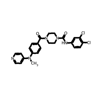 CN(c1ccncc1)c1ccc(C(=O)N2CCN(C(=O)Nc3ccc(Cl)c(Cl)c3)CC2)cc1